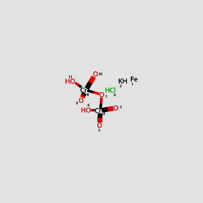 Cl.[Fe].[KH].[O]=[Cr](=[O])([OH])[O][Cr](=[O])(=[O])[OH]